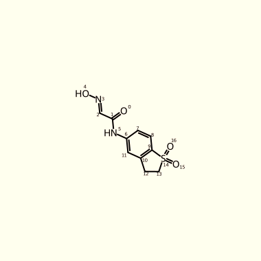 O=C(/C=N/O)Nc1ccc2c(c1)CCS2(=O)=O